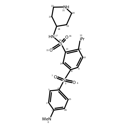 CNc1ccc(S(=O)(=O)c2ccc(C(C)C)c(S(=O)(=O)NC3CCNCC3)c2)cc1